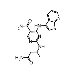 CC(CC(N)=O)Nc1ncc(C(N)=O)c(Nc2csc3ncccc23)n1